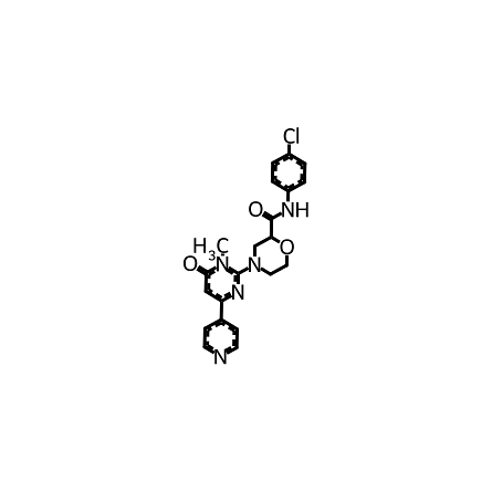 Cn1c(N2CCOC(C(=O)Nc3ccc(Cl)cc3)C2)nc(-c2ccncc2)cc1=O